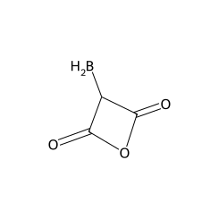 BC1C(=O)OC1=O